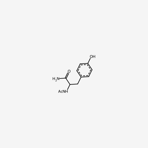 CC(=O)NC(Cc1ccc(O)cc1)C(N)=O